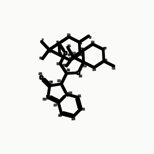 CC1CCC2C(C)(C)C2(OCC(OC23CC(C)CCC2C3(C)C)C2C(=O)N=C3C=CC=CN32)C1